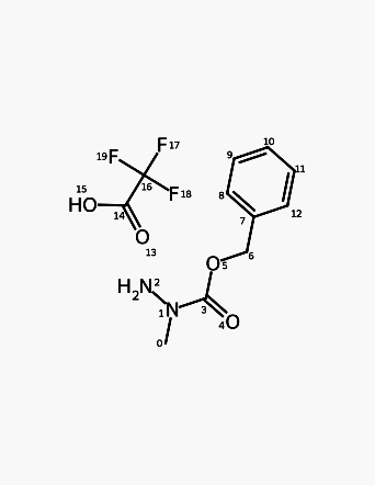 CN(N)C(=O)OCc1ccccc1.O=C(O)C(F)(F)F